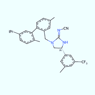 Cc1cc([C@@H]2CN(Cc3cc(C)ccc3-c3cc(C(C)C)ccc3C)C(=NC#N)N2)cc(C(F)(F)F)c1